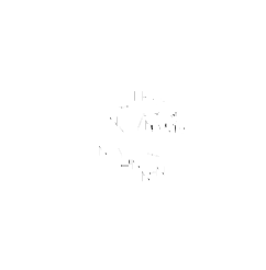 CO[C@@]1(c2ccnc(C(N)=O)c2)[C@@H]2CCC[C@H]1CN(Cc1cnn[nH]1)C2